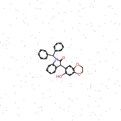 O=C1C(c2cc3c(cc2O)OCCO3)c2ccccc2N1C(c1ccccc1)c1ccccc1